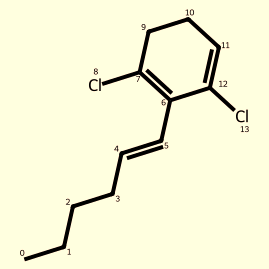 CCCC/C=C/C1=C(Cl)CCC=C1Cl